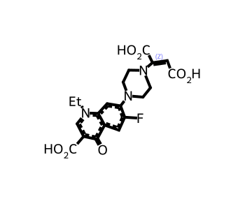 CCn1cc(C(=O)O)c(=O)c2cc(F)c(N3CCN(/C(=C\C(=O)O)C(=O)O)CC3)cc21